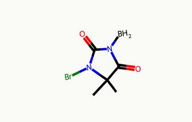 BN1C(=O)N(Br)C(C)(C)C1=O